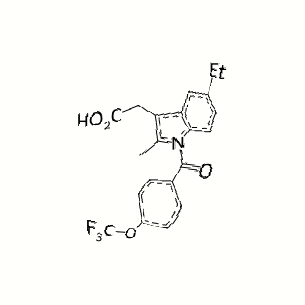 CCc1ccc2c(c1)c(CC(=O)O)c(C)n2C(=O)c1ccc(OC(F)(F)F)cc1